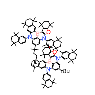 Cc1cc2c(cc1N1c3cc(C(C)(C)C)cc4c3B(c3cc5c(cc3N4c3ccc4c(c3)C(C)(C)CCC4(C)C)C3(C)CCC5(CCC(C)(C)c4cc5c6c(c4)N(c4cc7c(cc4C)C(C)(C)CCC7(C)C)c4oc7c(c4B6c4cc6c(cc4N5c4ccc5c(c4)C(C)(C)CCC5(C)C)C(C)(C)CCC6(C)C)C(C)(C)CCC7(C)C)CC3)c3c1oc1c3C(C)(C)CCC1(C)C)C(C)(C)CCC2(C)C